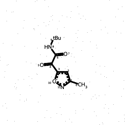 Cc1cc(C(=O)C(=O)NC(C)(C)C)on1